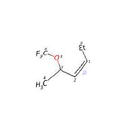 CC/C=C\C(C)OC(F)(F)F